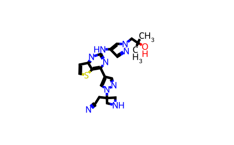 CC(C)(O)Cn1cc(Nc2nc(-c3cnn(C4(CC#N)CNC4)c3)c3sccc3n2)cn1